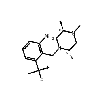 C[C@@H]1CN(Cc2c(N)cccc2C(F)(F)F)[C@@H](C)CN1C